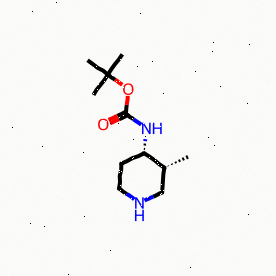 C[C@@H]1CNCC[C@@H]1NC(=O)OC(C)(C)C